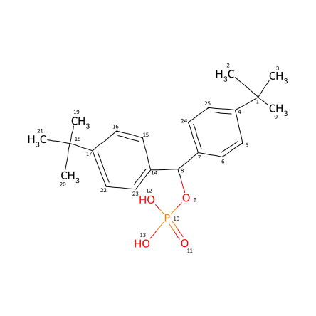 CC(C)(C)c1ccc(C(OP(=O)(O)O)c2ccc(C(C)(C)C)cc2)cc1